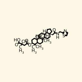 CC(C)(CC(=O)O[C@H]1CC[C@@]2(C)C(CC[C@]3(C)C2CC[C@@H]2[C@H]4CCC[C@]4(CC(=O)NCc4nccs4)CC[C@]23C)C1(C)C)C(=O)O